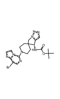 CC(C)(C)OC(=O)N[C@@H]1c2cnnn2CC12CCN(c1ncc(Br)c3nccn13)CC2